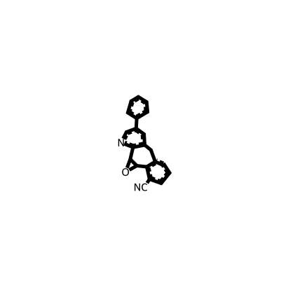 N#Cc1cccc2c1C1OC1c1ncc(-c3ccccc3)cc1C2